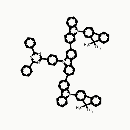 CC1(C)c2ccccc2-c2ccc(-n3c4ccccc4c4ccc(-c5ccc6c7ccc(-c8ccc9c%10ccccc%10n(-c%10ccc%11c(c%10)C(C)(C)c%10ccccc%10-%11)c9c8)cc7n(-c7ccc(-c8nc(-c9ccccc9)nc(-c9ccccc9)n8)cc7)c6c5)cc43)cc21